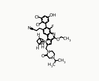 CCOc1nc2c(F)c(-c3cc(O)cc(Cl)c3Cl)c(CCC#N)cc2c2c1cc(CN1CCN(C(C)C)CC1=O)n2C1[C@H]2CN[C@@H]1C2